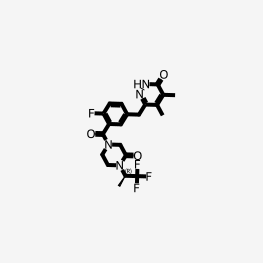 Cc1c(Cc2ccc(F)c(C(=O)N3CCN([C@H](C)C(F)(F)F)C(=O)C3)c2)n[nH]c(=O)c1C